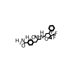 CNC(CNC(=O)CC(c1ccccc1)C1(C(F)(F)F)CC1)Cc1ccc(C(N)=O)cc1